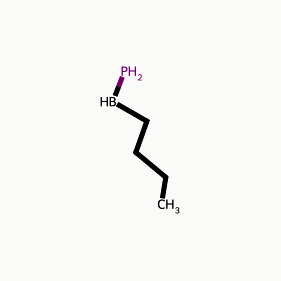 CCCCBP